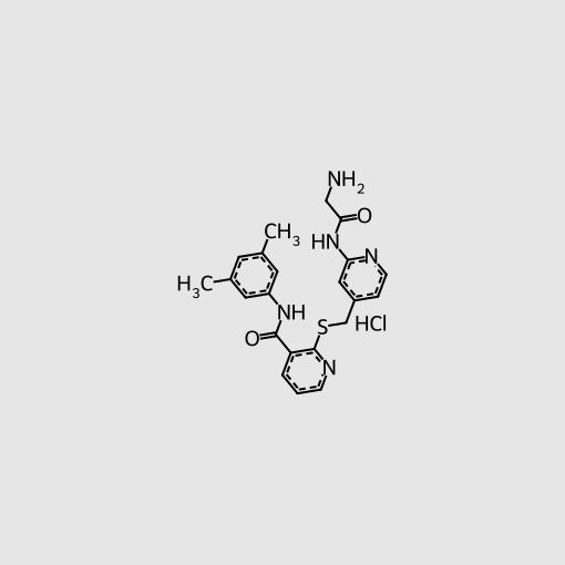 Cc1cc(C)cc(NC(=O)c2cccnc2SCc2ccnc(NC(=O)CN)c2)c1.Cl